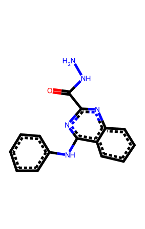 NNC(=O)c1nc(Nc2ccccc2)c2ccccc2n1